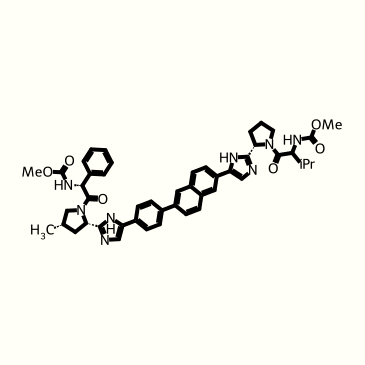 COC(=O)NC(C(=O)N1CCC[C@H]1c1ncc(-c2ccc3cc(-c4ccc(-c5cnc([C@@H]6C[C@H](C)CN6C(=O)[C@H](NC(=O)OC)c6ccccc6)[nH]5)cc4)ccc3c2)[nH]1)C(C)C